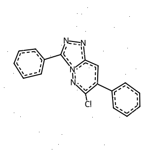 Clc1nn2c(-c3ccccc3)nnc2cc1-c1ccccc1